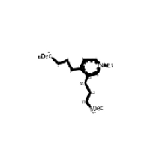 CCCCCCCCCCCCCc1cc[n+](CC)cc1CCCCCCCCCCCCC